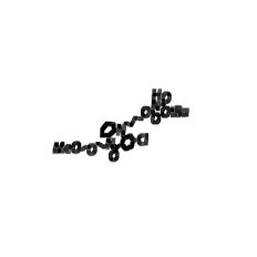 COCCOCCN1C(=O)c2ccc(Cl)cc2N(CCCCOC(=O)NC(=O)OC(C)(C)C)c2ccccc21